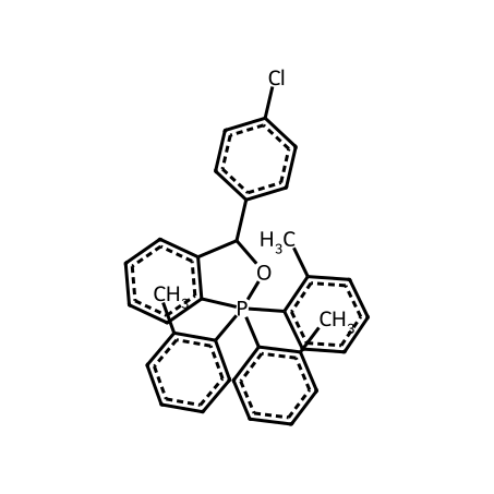 Cc1ccccc1P1(c2ccccc2C)(c2ccccc2C)OC(c2ccc(Cl)cc2)c2ccccc21